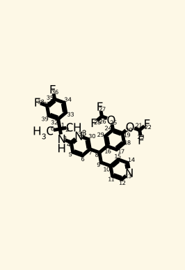 CC(C)(Nc1ccc(C(Cc2ccncc2)c2ccc(OC(F)F)c(OC(F)F)c2)cn1)c1ccc(F)c(F)c1